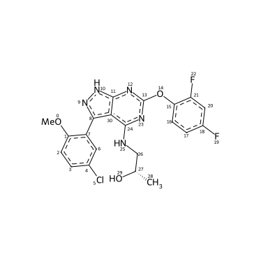 COc1ccc(Cl)cc1-c1n[nH]c2nc(Oc3ccc(F)cc3F)nc(NC[C@H](C)O)c12